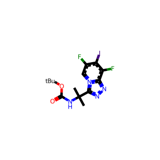 CC(C)(C)OC(=O)NC(C)(C)c1nnc2c(F)c(I)c(F)cn12